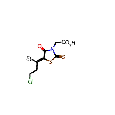 CCC(CCCl)=C1SC(=S)N(CC(=O)O)C1=O